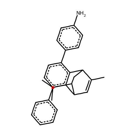 CC1=CC2c3c(-c4ccccc4)ccc(-c4ccc(N)cc4)c3C1CC2C(C)C